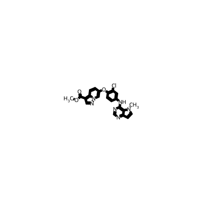 COC(=O)c1cnn2cc(Oc3ccc(Nc4ncnc5ccn(C)c45)cc3Cl)ccc12